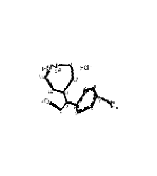 Cl.O=CC(c1ccc(F)cc1)C1CCNCC1